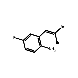 Nc1ccc(F)cc1C=C(Br)Br